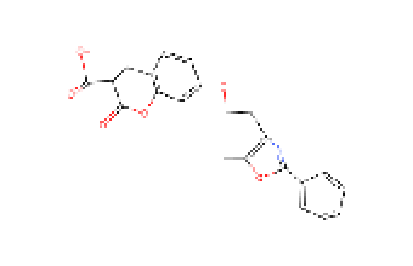 Cc1oc(-c2ccccc2)nc1CCOc1ccc2c(c1)OC(=O)C(C(=O)O)C2